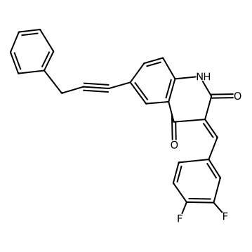 O=C1Nc2ccc(C#CCc3ccccc3)cc2C(=O)/C1=C\c1ccc(F)c(F)c1